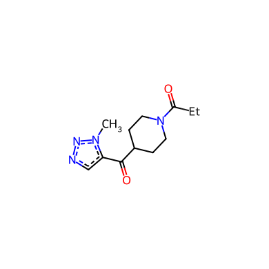 CCC(=O)N1CCC(C(=O)c2cnnn2C)CC1